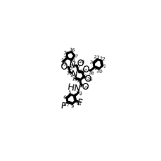 O=C(NCc1ccc(F)cc1F)c1cn2c(c(OCc3ccccc3)c1=O)C(=O)N1C(C2)OCC2CCCC21